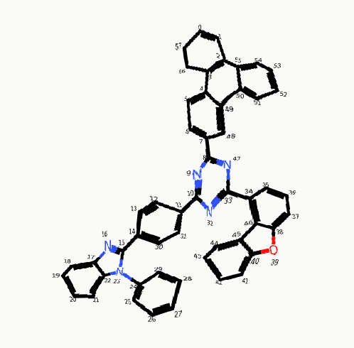 C1=Cc2c(c3ccc(-c4nc(-c5ccc(-c6nc7ccccc7n6-c6ccccc6)cc5)nc(-c5cccc6oc7ccccc7c56)n4)cc3c3ccccc23)CC1